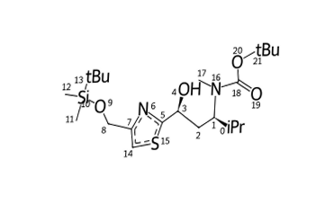 CC(C)[C@@H](C[C@H](O)c1nc(CO[Si](C)(C)C(C)(C)C)cs1)N(C)C(=O)OC(C)(C)C